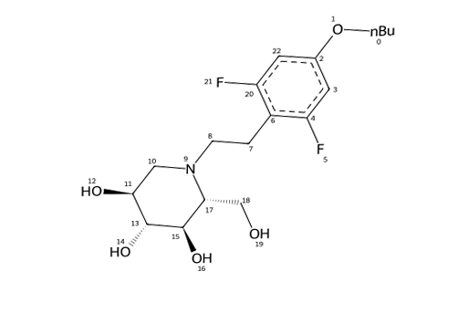 CCCCOc1cc(F)c(CCN2C[C@H](O)[C@@H](O)[C@H](O)[C@H]2CO)c(F)c1